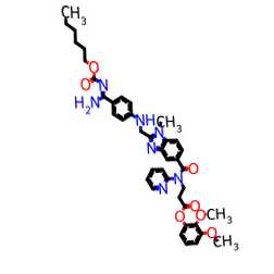 CCCCCCOC(=O)/N=C(\N)c1ccc(NCc2nc3cc(C(=O)N(CCC(=O)Oc4cccc(OC)c4OC)c4ccccn4)ccc3n2C)cc1